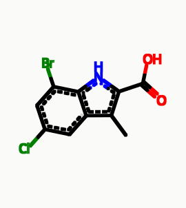 Cc1c(C(=O)O)[nH]c2c(Br)cc(Cl)cc12